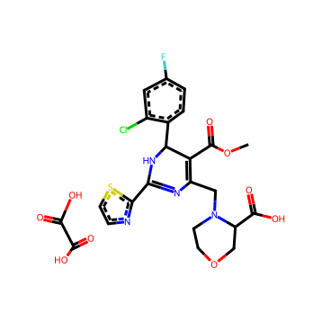 COC(=O)C1=C(CN2CCOCC2C(=O)O)N=C(c2nccs2)NC1c1ccc(F)cc1Cl.O=C(O)C(=O)O